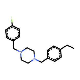 CCc1ccc(CN2CCN(Cc3ccc(F)cc3)CC2)cc1